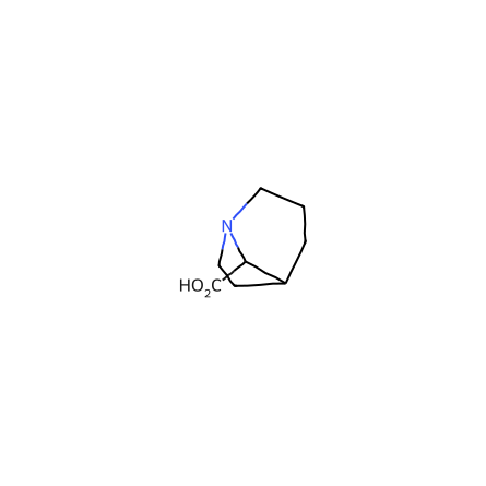 O=C(O)C1C2CCCN1CC2